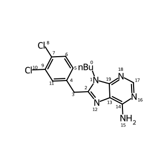 CCCCn1c(Cc2ccc(Cl)c(Cl)c2)nc2c(N)ncnc21